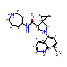 N#Cc1ccc(N2CC(C(=O)NC3CCCNCC3)C3(CC3)C2)c2cccnc12